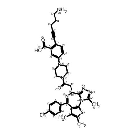 Cc1sc2c(c1C)C(c1ccc(Cl)cc1)=N[C@@H](CC(=O)N1CCN(c3ccc(C#CCCCN)c(C(=O)O)c3)CC1)c1nnc(C)n1-2